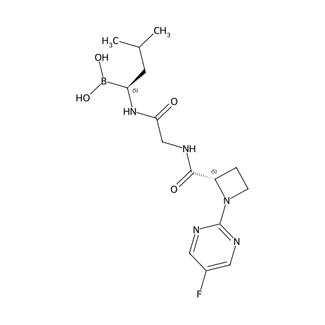 CC(C)C[C@@H](NC(=O)CNC(=O)[C@@H]1CCN1c1ncc(F)cn1)B(O)O